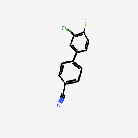 N#Cc1ccc(-c2ccc(F)c(Cl)c2)cc1